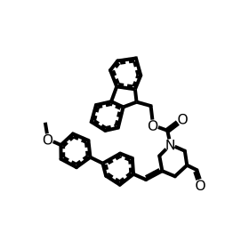 COc1ccc(-c2ccc(C=C3CC(C=O)CN(C(=O)OCC4c5ccccc5-c5ccccc54)C3)cc2)cc1